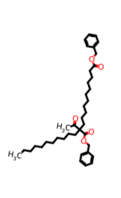 CCCCCCCCCCCC(CCCCCCCCCCC(=O)OCc1ccccc1)(C(C)=O)C(=O)OCc1ccccc1